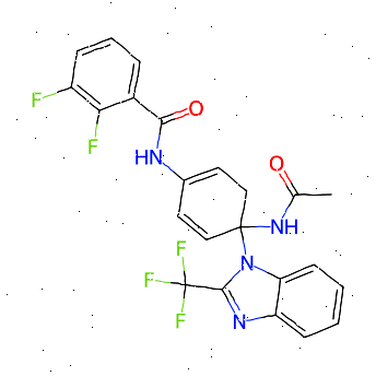 CC(=O)NC1(n2c(C(F)(F)F)nc3ccccc32)C=CC(NC(=O)c2cccc(F)c2F)=CC1